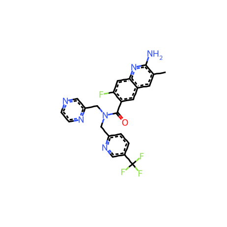 Cc1cc2cc(C(=O)N(Cc3ccc(C(F)(F)F)cn3)Cc3cnccn3)c(F)cc2nc1N